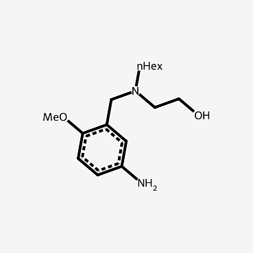 CCCCCCN(CCO)Cc1cc(N)ccc1OC